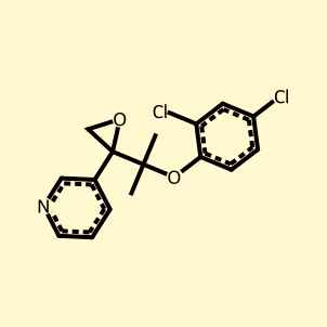 CC(C)(Oc1ccc(Cl)cc1Cl)C1(c2cccnc2)CO1